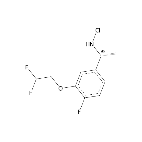 C[C@@H](NCl)c1ccc(F)c(OCC(F)F)c1